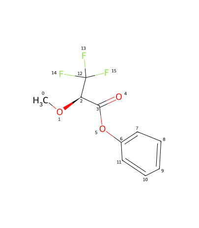 CO[C@H](C(=O)Oc1ccccc1)C(F)(F)F